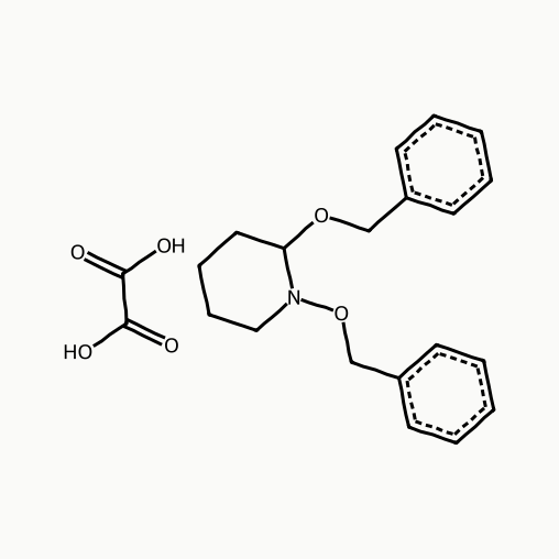 O=C(O)C(=O)O.c1ccc(COC2CCCCN2OCc2ccccc2)cc1